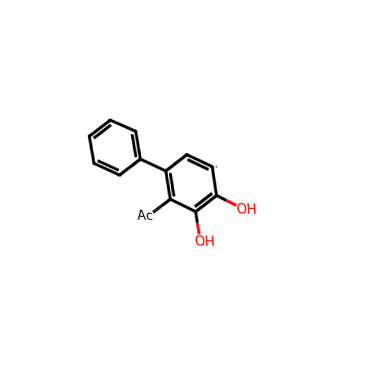 CC(=O)c1c(-c2ccccc2)c[c]c(O)c1O